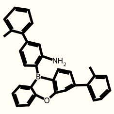 Cc1ccccc1-c1ccc(B2c3ccccc3Oc3cc(-c4ccccc4C)ccc32)c(N)c1